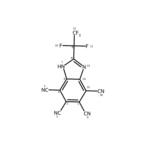 N#Cc1c(C#N)c(C#N)c2[nH]c(C(F)(F)C(F)(F)F)nc2c1C#N